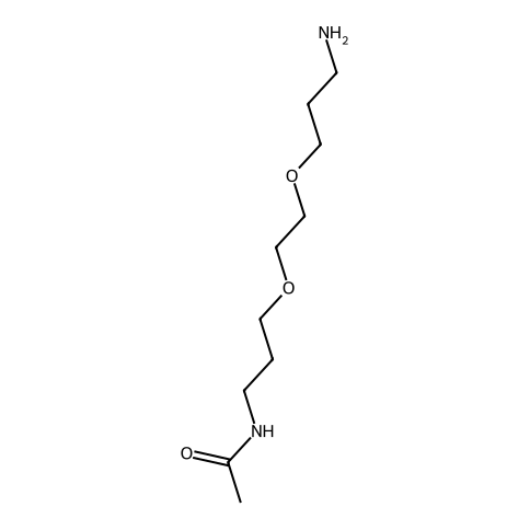 CC(=O)NCCCOCCOCCCN